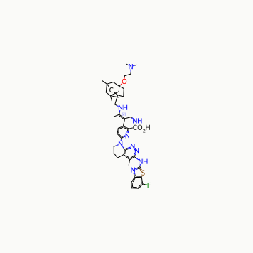 C/C(NCC1CC2(C)CC3(C)CC1CC(OCCN(C)C)(C2)C3)=C(/C=N)c1ccc(N2CCCc3c2nnc(Nc2nc4cccc(F)c4s2)c3C)nc1C(=O)O